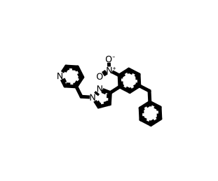 O=[N+]([O-])c1ccc(Cc2ccccc2)cc1-c1ccn(Cc2cccnc2)n1